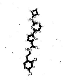 O=C(NCCc1ccc(Cl)cc1Cl)c1ccc(-c2ccnc(NC3CCC3)n2)s1